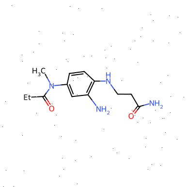 CCC(=O)N(C)c1ccc(NCCC(N)=O)c(N)c1